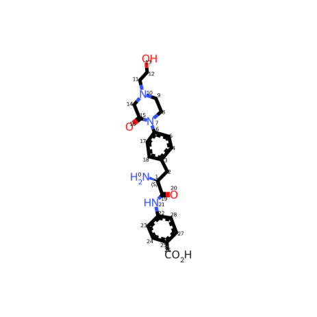 N[C@@H](Cc1ccc(N2CCN(CCO)CC2=O)cc1)C(=O)Nc1ccc(C(=O)O)cc1